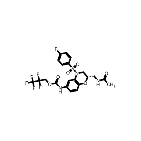 CC(=O)NC[C@H]1CN(S(=O)(=O)c2ccc(F)cc2)c2cc(NC(=O)OCC(F)(F)C(F)(F)F)ccc2O1